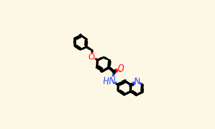 O=C(Nc1ccc2cccnc2c1)C1=CCC(OCc2ccccc2)C=C1